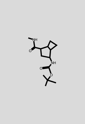 CNC(=O)C1CC(NC(=O)OC(C)(C)C)C2CCC12